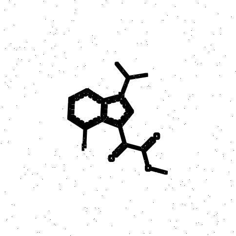 COC(=O)C(=O)c1cn(C(C)C)c2cccc(F)c12